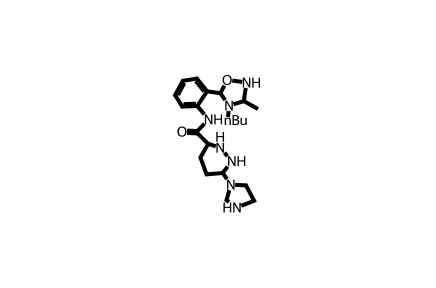 CCCCN1C(C)NOC1c1ccccc1NC(=O)C1CCC(N2CCNC2)NN1